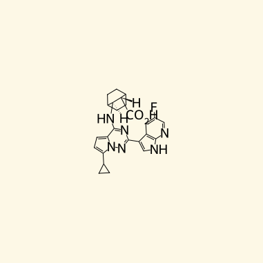 O=C(O)[C@H]1C2CCC(CC2)[C@@H]1Nc1nc(-c2c[nH]c3ncc(F)cc23)nn2c(C3CC3)ccc12